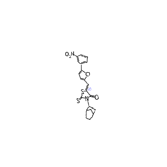 O=C1/C(=C/c2ccc(-c3cccc([N+](=O)[O-])c3)o2)SC(=S)N1C1CC2CCC1C2